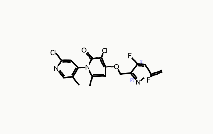 C=C(F)/C=C(F)\C(COc1cc(C)n(-c2cc(Cl)ncc2C)c(=O)c1Cl)=N/C